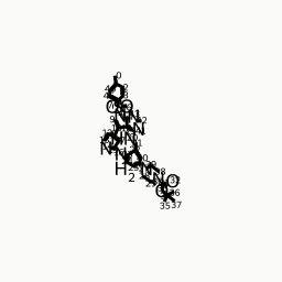 Cc1ccc(S(=O)(=O)n2cc(-c3ccnc(N)c3)c3c(NCc4cccc(N5CCN(C(=O)OC(C)(C)C)CC5)c4)ncnc32)cc1